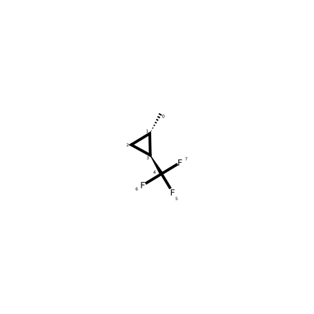 C[C@H]1C[C@@H]1C(F)(F)F